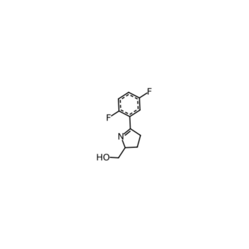 OCC1CCC(c2cc(F)ccc2F)=N1